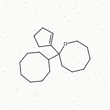 C1=C(C2(C3CCCCCCC3)CCCCCCO2)CCC1